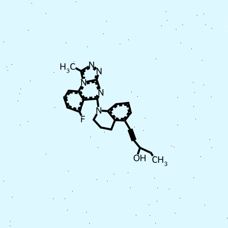 CCC(O)C#Cc1cccc2c1CCCN2c1nc2nnc(C)n2c2cccc(F)c12